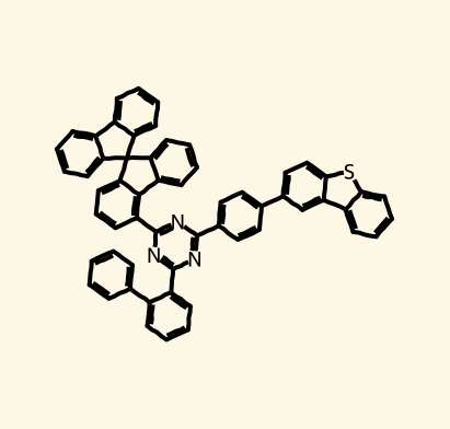 c1ccc(-c2ccccc2-c2nc(-c3ccc(-c4ccc5sc6ccccc6c5c4)cc3)nc(-c3cccc4c3-c3ccccc3C43c4ccccc4-c4ccccc43)n2)cc1